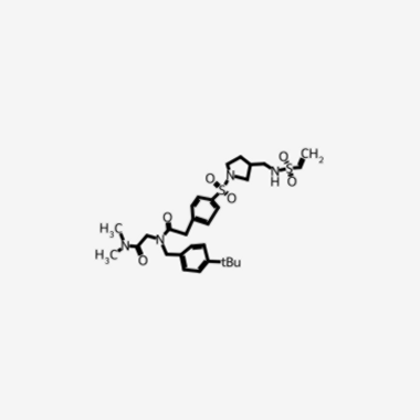 C=CS(=O)(=O)NCC1CCN(S(=O)(=O)c2ccc(CC(=O)N(CC(=O)N(C)C)Cc3ccc(C(C)(C)C)cc3)cc2)C1